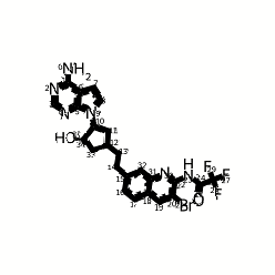 Nc1ncnc2c1ccn2C1CC(CCc2ccc3cc(Br)c(NC(=O)C(F)(F)F)nc3c2)C[C@H]1O